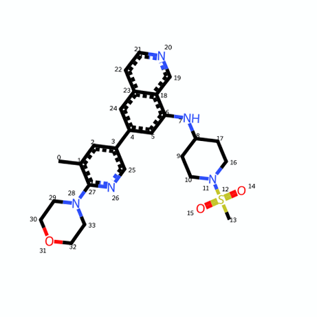 Cc1cc(-c2cc(NC3CCN(S(C)(=O)=O)CC3)c3cnccc3c2)cnc1N1CCOCC1